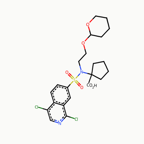 O=C(O)C1(N(CCOC2CCCCO2)S(=O)(=O)c2ccc3c(Cl)cnc(Cl)c3c2)CCCC1